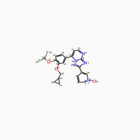 [O-][n+]1cccc(-c2nc3nccc(-c4ccc(OC(F)F)c(OCC5CC5)c4)n3n2)c1